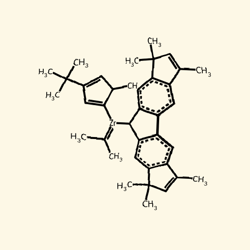 CC1=CC(C)(C)c2cc3c(cc21)-c1cc2c(cc1[CH]3[Zr]([C]1=CC(C(C)(C)C)=CC1C)=[C](C)C)C(C)(C)C=C2C